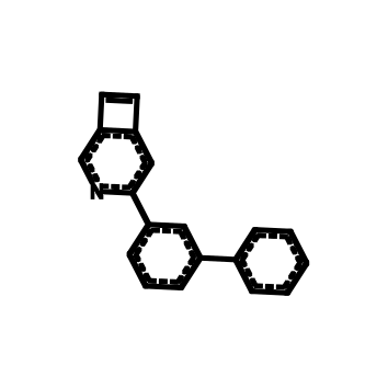 C1=Cc2cc(-c3cccc(-c4ccccc4)c3)ncc21